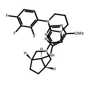 COc1cc(N2C[C@H]3CC[C@@H](C2)[C@@H]3Nc2nc3n(n2)CCCN3c2ccc(F)c(F)c2F)ncn1